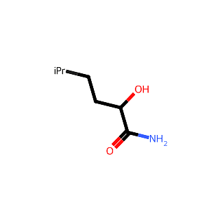 CC(C)CCC(O)C(N)=O